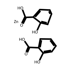 O=C(O)c1ccccc1O.O=C(O)c1ccccc1O.[Zn]